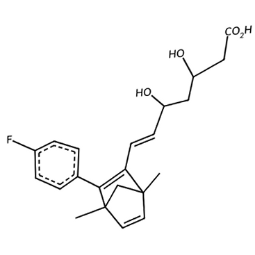 CC12C=CC(C)(C1)C(c1ccc(F)cc1)=C2C=CC(O)CC(O)CC(=O)O